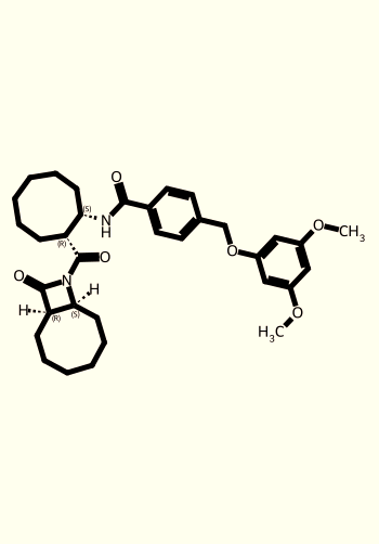 COc1cc(OC)cc(OCc2ccc(C(=O)N[C@H]3CCCCCC[C@H]3C(=O)N3C(=O)[C@@H]4CCCCCC[C@@H]43)cc2)c1